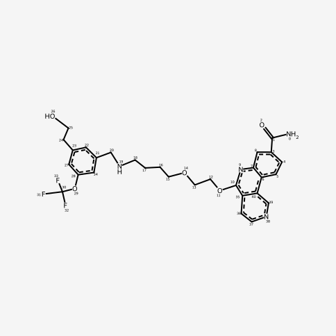 NC(=O)c1ccc2c(c1)nc(OCCOCCCCNCc1cc(CCO)cc(OC(F)(F)F)c1)c1ccncc12